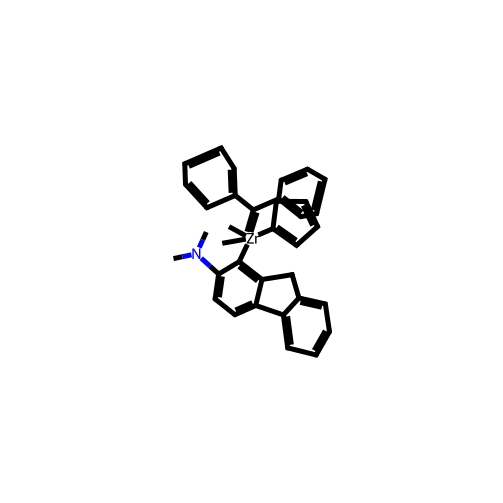 CN(C)c1ccc2c([c]1[Zr]([CH3])([CH3])([C]1=CC=CC1)=[C](c1ccccc1)c1ccccc1)Cc1ccccc1-2